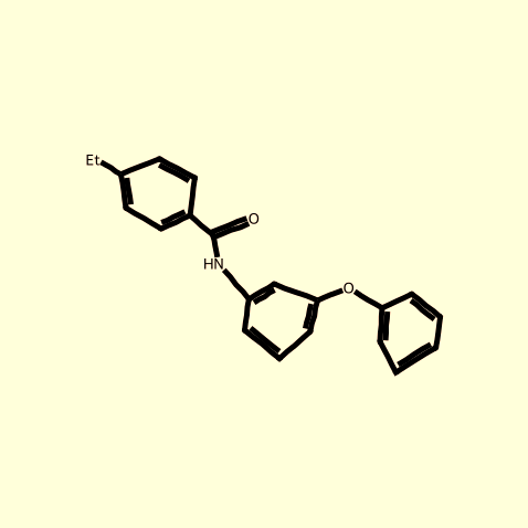 CCc1ccc(C(=O)Nc2cccc(Oc3ccccc3)c2)cc1